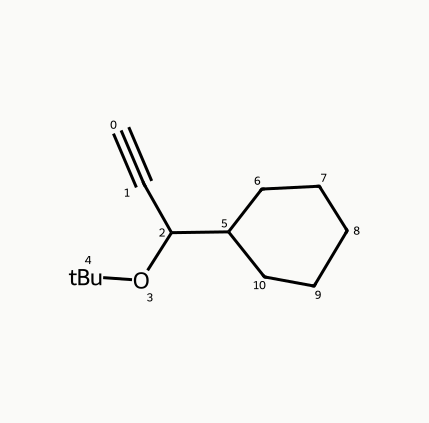 C#CC(OC(C)(C)C)C1CCCCC1